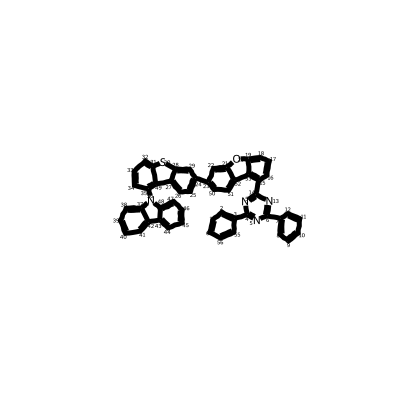 c1ccc(-c2nc(-c3ccccc3)nc(-c3cccc4oc5cc(-c6ccc7c(c6)sc6cccc(-n8c9ccccc9c9ccccc98)c67)ccc5c34)n2)cc1